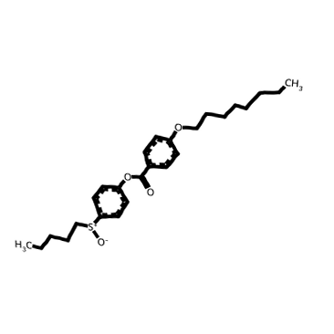 CCCCCCCCOc1ccc(C(=O)Oc2ccc([S+]([O-])CCCCC)cc2)cc1